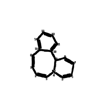 [C]1=C\C=C/N2C=CC=CC2c2ccccc2/1